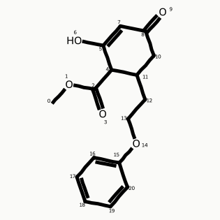 COC(=O)C1C(O)=CC(=O)CC1CCOc1ccccc1